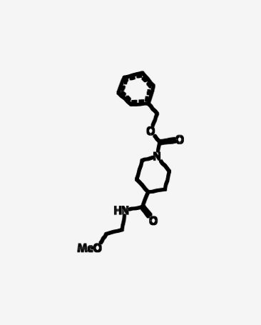 COCCNC(=O)C1CCN(C(=O)OCc2ccccc2)CC1